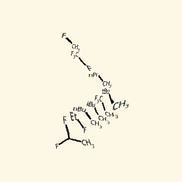 CC(C)(C)C.CC(F)(F)F.CC(F)F.CCC(C)C.CCCC.CCCCC.CCF.CF.FC(F)(F)F